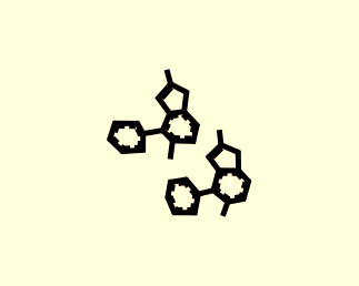 CC1=Cc2c(ccc(C)c2-c2ccccc2)C1.CC1=Cc2c(ccc(C)c2-c2ccccc2)C1